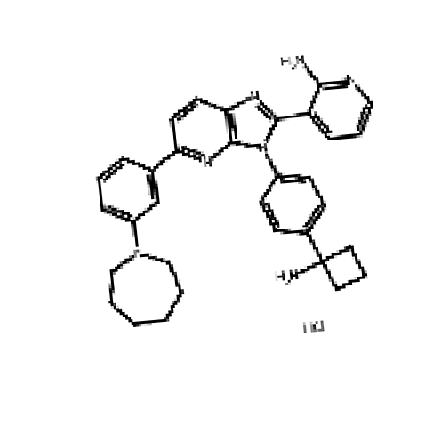 Cl.Nc1ncccc1-c1nc2ccc(-c3cccc(N4CCCCCC4)c3)nc2n1-c1ccc(C2(N)CCC2)cc1